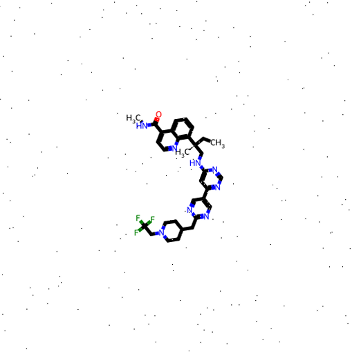 CC[C@@](C)(CNc1cc(-c2cnc(CC3CCN(CC(F)(F)F)CC3)nc2)ncn1)c1cccc2c(C(=O)NC)ccnc12